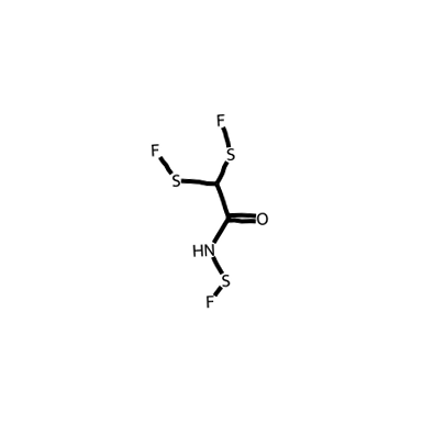 O=C(NSF)C(SF)SF